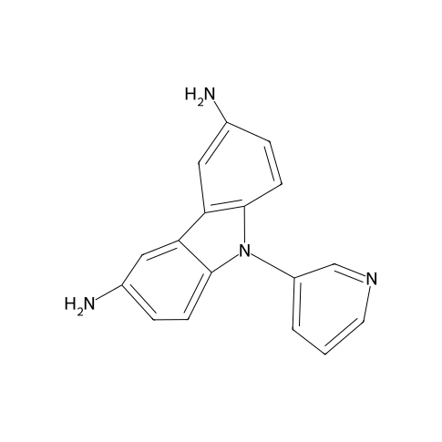 Nc1ccc2c(c1)c1cc(N)ccc1n2-c1cccnc1